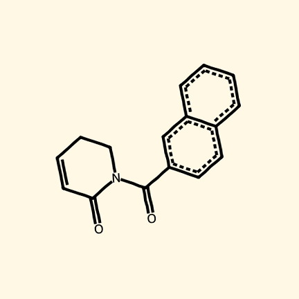 O=C1C=CCCN1C(=O)c1ccc2ccccc2c1